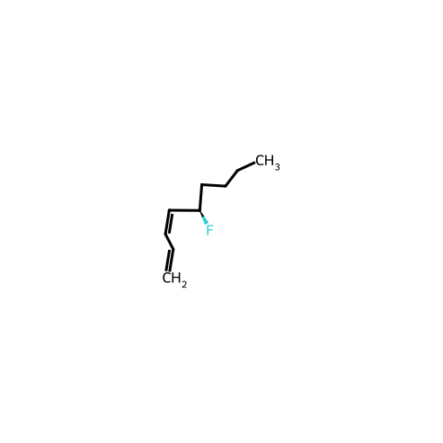 C=C/C=C\[C@H](F)CCCC